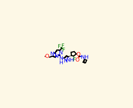 COCc1cn2c(Nc3cc([C@H]4CC[C@@H](OC(=O)NC56CC(C5)C6)[C@H]4F)[nH]n3)nc(C(F)(F)F)cc2n1